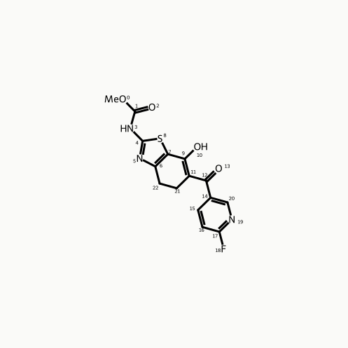 COC(=O)Nc1nc2c(s1)C(O)=C(C(=O)c1ccc(F)nc1)CC2